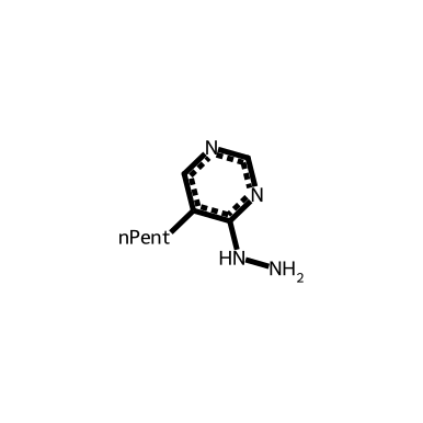 CCCCCc1cncnc1NN